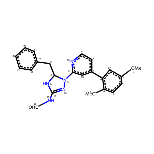 COc1ccc(OC)c(-c2ccnc(N3N=C(NC=O)NC3Cc3ccccc3)c2)c1